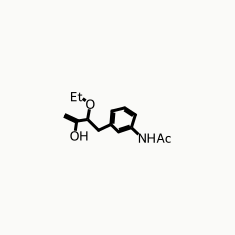 C=C(O)C(Cc1cccc(NC(C)=O)c1)OCC